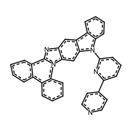 c1cc(-c2ccncc2)nc(-n2c3ccccc3c3cc4nc5c6ccccc6c6ccccc6n5c4cc32)c1